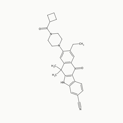 CCc1cc2c(cc1N1CCN(C(=O)C3CCC3)CC1)C(C)(C)c1[nH]c3cc(C#N)ccc3c1C2=O